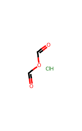 Cl.O=COC=O